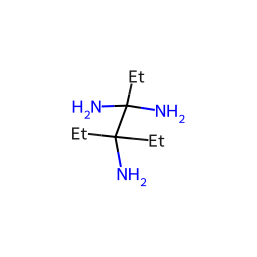 CCC(N)(N)C(N)(CC)CC